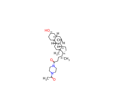 CC(=O)N1CCN(C(=O)CC[C@@H](C)[C@H]2CC[C@H]3[C@@H]4CC[C@H]5C[C@@H](O)CC[C@]5(C)[C@H]4CC[C@]23C)CC1